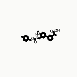 COc1ccc(-c2cccc(C(C)C(=O)O)c2)cc1CNC(=O)OCc1ccc(C)cc1